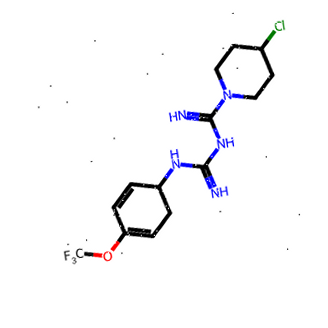 N=C(NC(=N)N1CCC(Cl)CC1)NC1C=CC(OC(F)(F)F)=CC1